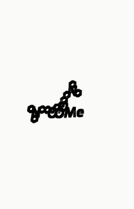 COc1c2oc3cc4cc(N(c5ccccc5)c5ccccc5)ccc4cc3c2cc2c1oc1cc3cc(N(c4ccccc4)c4ccccc4)ccc3cc12